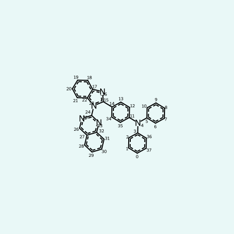 c1ccc(N(c2ccccc2)c2ccc(-c3nc4ccccc4n3-c3ncc4ccccc4n3)cc2)cc1